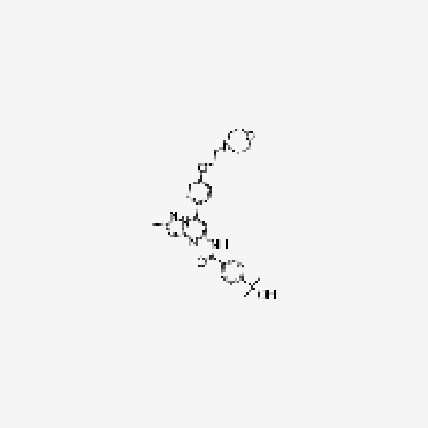 Cc1cc2nc(NC(=O)c3ccc(C(C)(C)O)cc3)cc(-c3ccc(OCCN4CCOCC4)cc3)n2n1